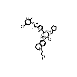 COCCN1CCCc2cc(NC(=O)[C@H](CC3CCCC3)NC(=O)c3ccc([C@H](C)Nc4cc(Cl)cnc4C)s3)ccc21